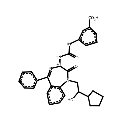 O=C(Nc1cccc(C(=O)O)c1)N[C@@H]1N=C(c2ccccc2)c2ccccc2N(CC(O)C2CCCC2)C1=O